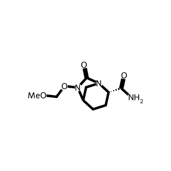 COCON1C(=O)N2CC1CC[C@H]2C(N)=O